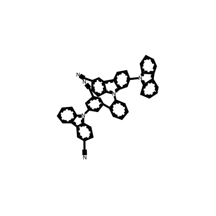 N#Cc1cc(-c2ccccc2-n2c3ccc(C#N)cc3c3ccc(-n4c5ccccc5c5ccccc54)cc32)cc(-n2c3ccccc3c3cc(C#N)ccc32)c1